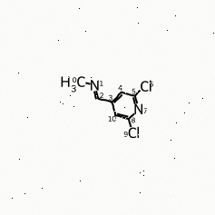 C/N=C/c1cc(Cl)nc(Cl)c1